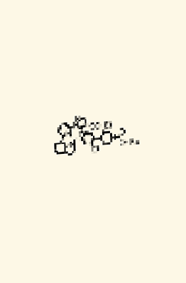 CCOC(=O)c1cnn(-c2cccc(-c3cccc4c3N(Cc3ccc(C5CCN(C(=O)OC(C)(C)C)CC5)c(CC)c3)CC4)n2)c1C(F)(F)F